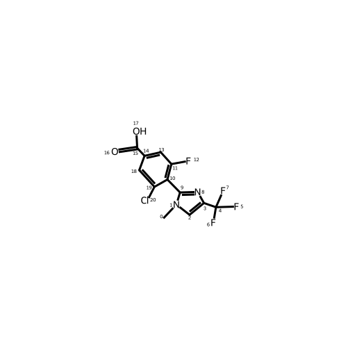 Cn1cc(C(F)(F)F)nc1-c1c(F)cc(C(=O)O)cc1Cl